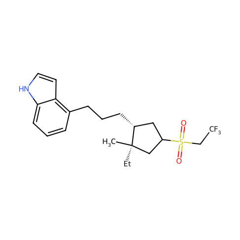 CC[C@@]1(C)CC(S(=O)(=O)CC(F)(F)F)C[C@H]1CCCc1cccc2[nH]ccc12